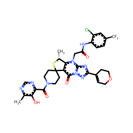 Cc1ncnc(C(=O)N2CCC3(CC2)S[C@H](C)c2c3c(=O)n3nc(C4=CCOCC4)nc3n2CC(=O)Nc2ccc(C(F)(F)F)cc2Cl)c1O